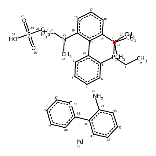 CCP(CC)c1ccccc1-c1c(N(C)C)cccc1N(C)C.CS(=O)(=O)O.Nc1ccccc1-c1[c-]cccc1.[Pd]